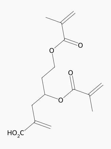 C=C(C)C(=O)OCCC(CC(=C)C(=O)O)OC(=O)C(=C)C